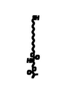 C=C(C)C(=O)OCCNC(=O)OCCCCCCCCCCCCS